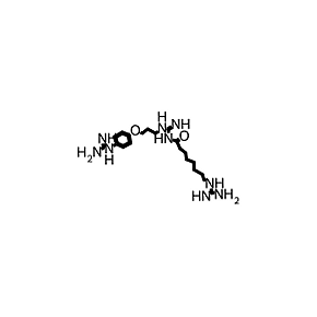 N=C(N)NCCCCCCCC(=O)NC(=N)NCCCOc1ccc(NC(=N)N)cc1